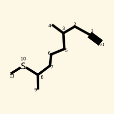 [C]#CCC(C)CCCC(C)SC